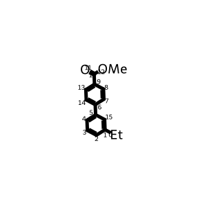 CCc1cccc(-c2ccc(C(=O)OC)cc2)c1